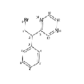 BrCC(c1ccccc1)c1cnccn1